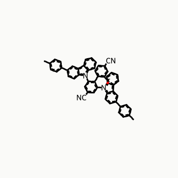 Cc1ccc(-c2ccc3c(c2)c2ccccc2n3-c2cc(C#N)cc(-n3c4ccccc4c4cc(-c5ccc(C)cc5)ccc43)c2-c2ccc(C#N)cc2F)cc1